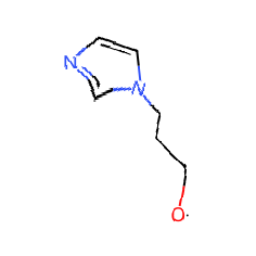 [O]CCCn1ccnc1